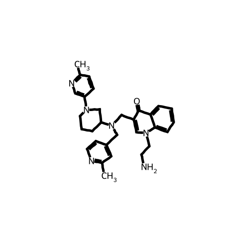 Cc1ccc(N2CCCC(N(Cc3ccnc(C)c3)Cc3cn(CCN)c4ccccc4c3=O)C2)cn1